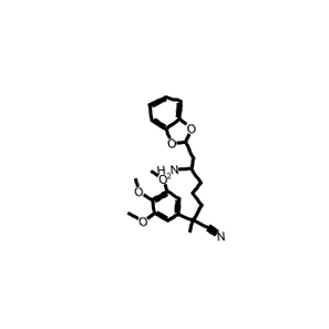 COc1cc(C(C)(C#N)CCCC(N)CC2Oc3ccccc3O2)cc(OC)c1OC